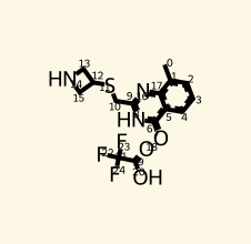 Cc1cccc2c(=O)[nH]c(CSC3CNC3)nc12.O=C(O)C(F)(F)F